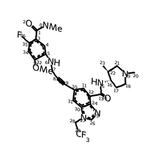 CNC(=O)c1cc(NCC#Cc2cc(C(=O)N[C@H]3CCN(C)C[C@@H]3C)c3ncn(CC(F)(F)F)c3c2)c(OC)cc1F